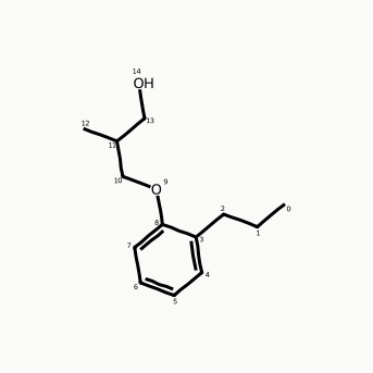 CCCc1ccccc1OCC(C)CO